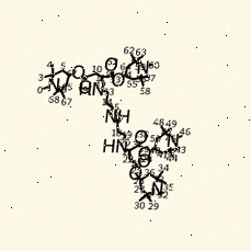 CN1C(C)(C)CC(OC(=O)CC(NCCCNCCCNC(CC(=O)OC2CC(C)(C)N(C)C(C)(C)C2)C(=O)OC2CC(C)(C)N(C)C(C)(C)C2)C(=O)OC2CC(C)(C)N(C)C(C)(C)C2)CC1(C)C